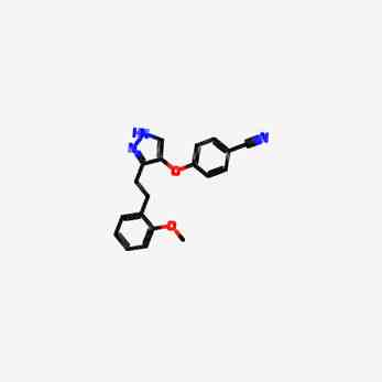 COc1ccccc1CCc1n[nH]cc1Oc1ccc(C#N)cc1